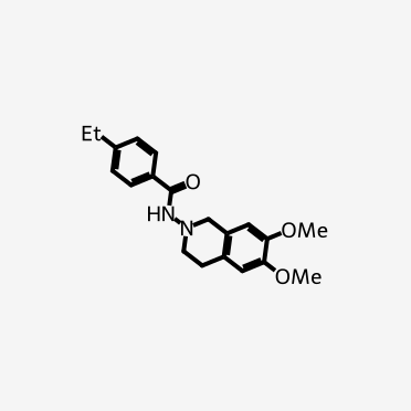 CCc1ccc(C(=O)NN2CCc3cc(OC)c(OC)cc3C2)cc1